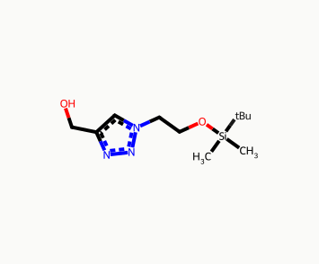 CC(C)(C)[Si](C)(C)OCCn1cc(CO)nn1